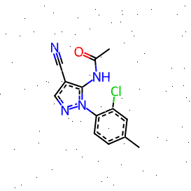 CC(=O)Nc1c(C#N)cnn1-c1ccc(C)cc1Cl